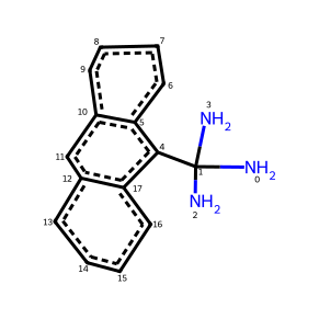 NC(N)(N)c1c2ccccc2cc2ccccc12